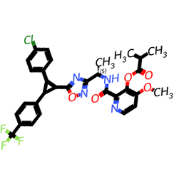 COc1ccnc(C(=O)N[C@@H](C)c2noc(C3C(c4ccc(Cl)cc4)C3c3ccc(C(F)(F)F)cc3)n2)c1OC(=O)C(C)C